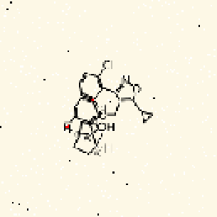 O[C@@]1(c2ccccc2F)[C@@H]2CC[C@H]1C[C@H](OCc1c(-c3c(Cl)cccc3Cl)noc1C1CC1)C2